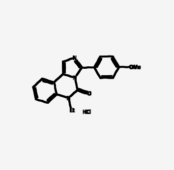 CCn1c(=O)n2c(-c3ccc(OC)cc3)ncc2c2ccccc21.Cl